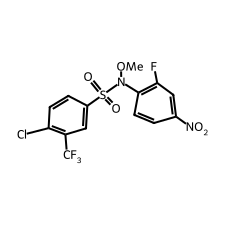 CON(c1ccc([N+](=O)[O-])cc1F)S(=O)(=O)c1ccc(Cl)c(C(F)(F)F)c1